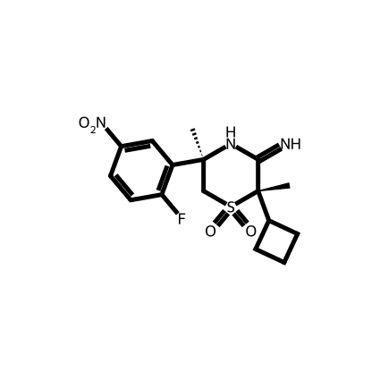 C[C@@]1(c2cc([N+](=O)[O-])ccc2F)CS(=O)(=O)[C@@](C)(C2CCC2)C(=N)N1